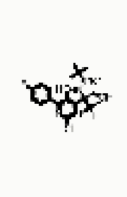 CC(C)(C)[S@@+]([O-])N[C@@](CO)(c1cc(Cl)nc(-c2ccc(F)cc2)c1O)C(F)(F)F